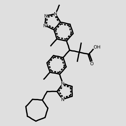 Cc1ccc(C(c2ccc3c(nnn3C)c2C)C(C)(C)C(=O)O)cc1-n1ccnc1CC1CCCCCC1